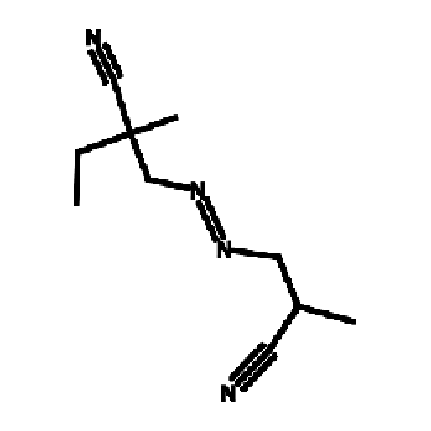 CCC(C)(C#N)CN=NCC(C)C#N